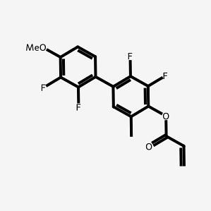 C=CC(=O)Oc1c(C)cc(-c2ccc(OC)c(F)c2F)c(F)c1F